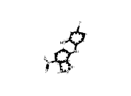 O=[N+]([O-])c1ccc(Nc2ccc(F)cc2O)c2nonc12